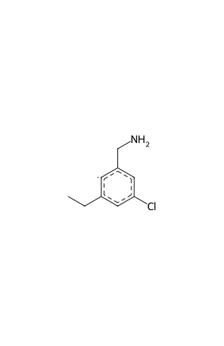 CCc1[c]c(CN)cc(Cl)c1